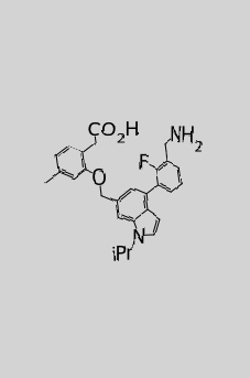 Cc1ccc(CC(=O)O)c(OCc2cc(-c3cccc(CN)c3F)c3ccn(C(C)C)c3c2)c1